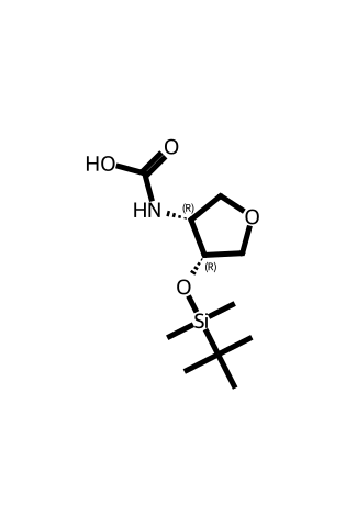 CC(C)(C)[Si](C)(C)O[C@H]1COC[C@H]1NC(=O)O